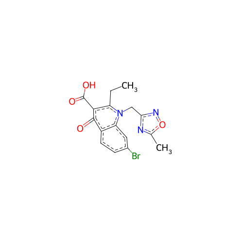 CCc1c(C(=O)O)c(=O)c2ccc(Br)cc2n1Cc1noc(C)n1